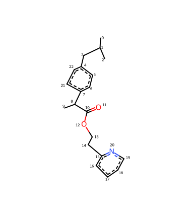 CC(C)Cc1ccc(C(C)C(=O)OCCc2ccccn2)cc1